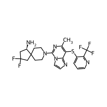 Cc1nc(N2CCC3(CC2)CC(F)(F)C[C@H]3N)n2ccnc2c1Sc1cccnc1C(F)(F)F